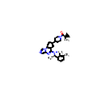 Cc1c([C@@H](C)Nc2nc3cncn3c3ccc(C4=CCN(C(=O)C5(C)CC5)CC4)cc23)cccc1C(F)(F)F